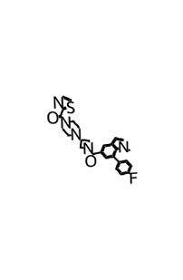 Cn1ccc2cc(C(=O)N3CC(N4CCN(C(=O)c5nccs5)CC4)C3)cc(-c3ccc(F)cc3)c21